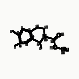 Cc1cc2c(cc1C)C(C)N(C(=O)OC(C)(C)C)CC2